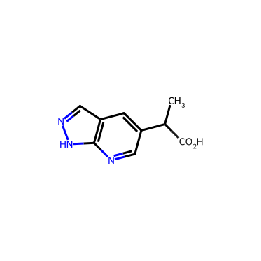 CC(C(=O)O)c1cnc2[nH]ncc2c1